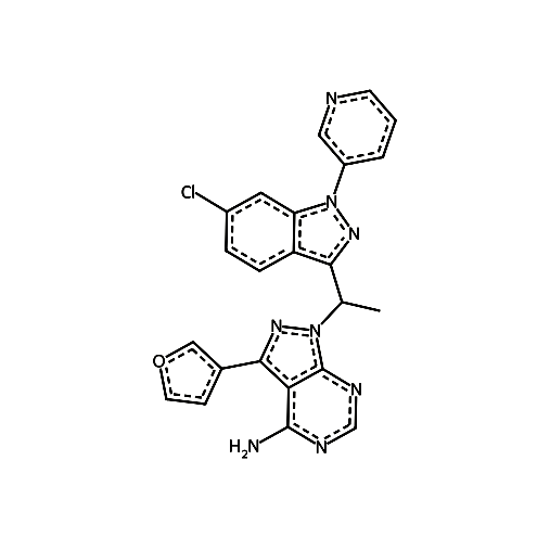 CC(c1nn(-c2cccnc2)c2cc(Cl)ccc12)n1nc(-c2ccoc2)c2c(N)ncnc21